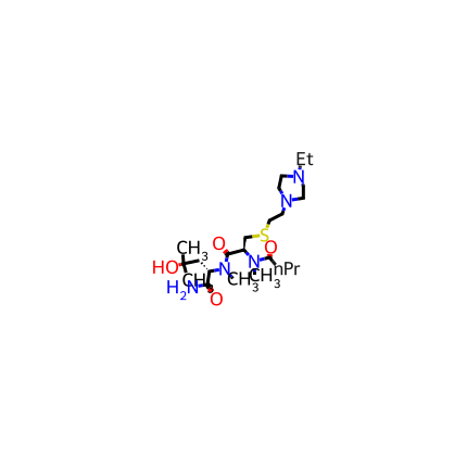 CCCC(=O)N(C)[C@H](CSCCN1CCN(CC)CC1)C(=O)N(C)[C@@H](CC(C)(C)O)C(N)=O